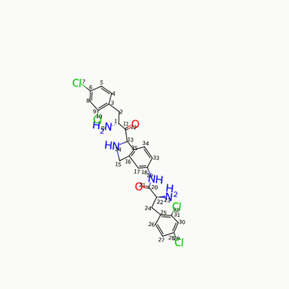 N[C@H](Cc1ccc(Cl)cc1Cl)C(=O)C1NCc2cc(NC(=O)[C@@H](N)Cc3ccc(Cl)cc3Cl)ccc21